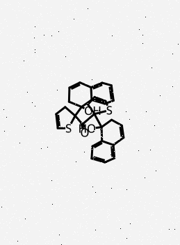 O=C(C1(C2(O)CC=Cc3ccccc32)CC=CS1)C1(C2(O)CC=Cc3ccccc32)CC=CS1